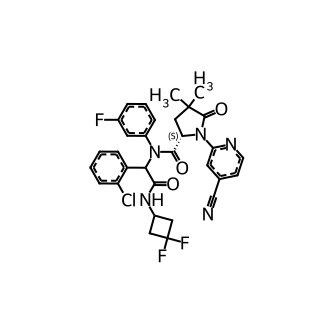 CC1(C)C[C@@H](C(=O)N(c2cccc(F)c2)C(C(=O)NC2CC(F)(F)C2)c2ccccc2Cl)N(c2cc(C#N)ccn2)C1=O